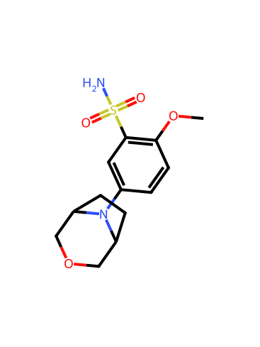 COc1ccc(N2C3CCC2COC3)cc1S(N)(=O)=O